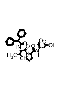 CC(C)[C@H](NC(=O)C(c1ccccc1)c1ccccc1)C(=O)N1CCCC1C(=O)N[C@H](C=O)CC(=O)O